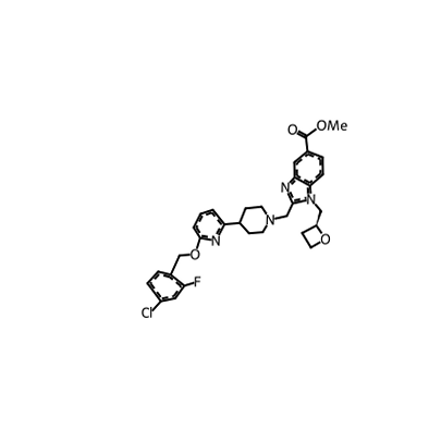 COC(=O)c1ccc2c(c1)nc(CN1CCC(c3cccc(OCc4ccc(Cl)cc4F)n3)CC1)n2C[C@@H]1CCO1